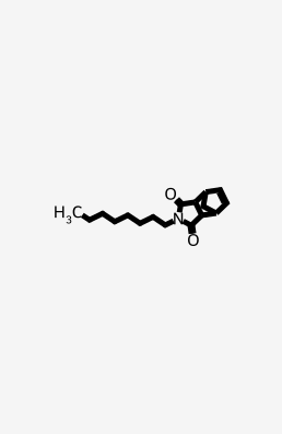 CCCCCCCCN1C(=O)C2C3C=CC(C3)C2C1=O